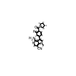 Cn1cc(-c2ccc(C(=O)N3CCCC3)c(F)c2)c2c(N)ncc(C#N)c21